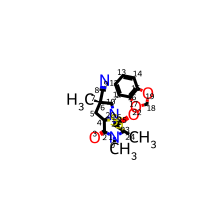 CN1C(=O)C23C[C@](C)(C#N)[C@H](c4cccc5c4OCO5)N2C(=O)C1(C)SS3